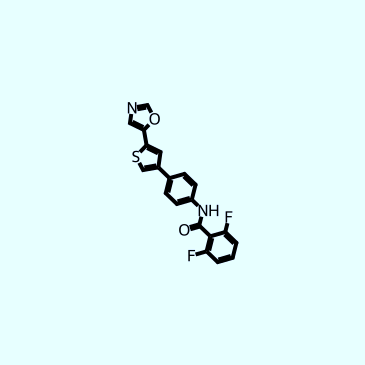 O=C(Nc1ccc(-c2csc(-c3cnco3)c2)cc1)c1c(F)cccc1F